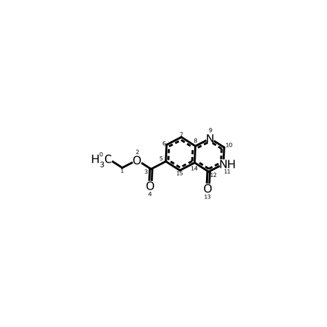 CCOC(=O)c1ccc2nc[nH]c(=O)c2c1